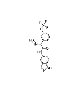 CNC(C(=O)Nc1ccc2[nH]ncc2c1)c1cccc(OC(F)(F)F)c1